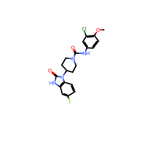 COc1ccc(NC(=O)N2CCC(n3c(=O)[nH]c4cc(F)ccc43)CC2)cc1Cl